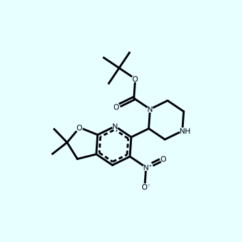 CC(C)(C)OC(=O)N1CCNCC1c1nc2c(cc1[N+](=O)[O-])CC(C)(C)O2